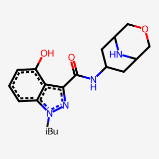 CCC(C)n1nc(C(=O)NC2CC3COCC(C2)N3)c2c(O)cccc21